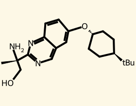 CC(C)(C)[C@H]1CC[C@H](Oc2ccc3nc([C@@](C)(N)CO)ncc3c2)CC1